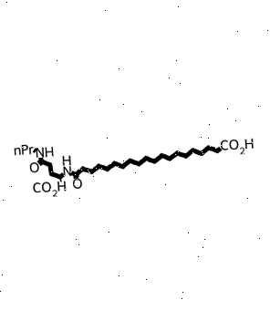 CCCNC(=O)CC[C@H](NC(=O)CCCCCCCCCCCCCCCCCCC(=O)O)C(=O)O